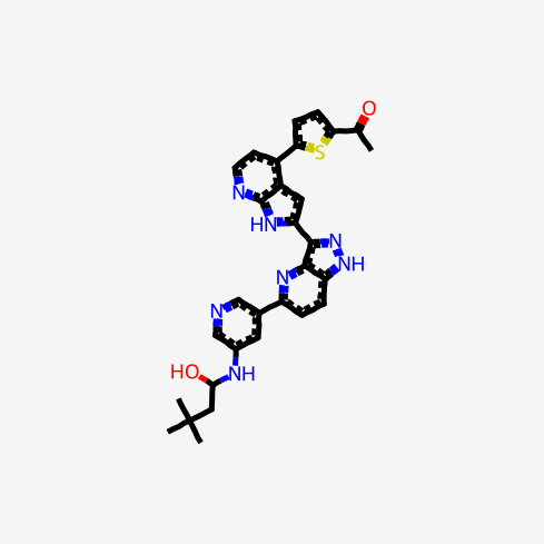 CC(=O)c1ccc(-c2ccnc3[nH]c(-c4n[nH]c5ccc(-c6cncc(NC(O)CC(C)(C)C)c6)nc45)cc23)s1